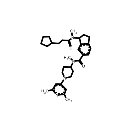 Cc1cc(N2CCC(N(C)C(=O)c3ccc4c(c3)C(N(C)C(=O)CCC3CCCC3)CC4)CC2)cc(C)n1